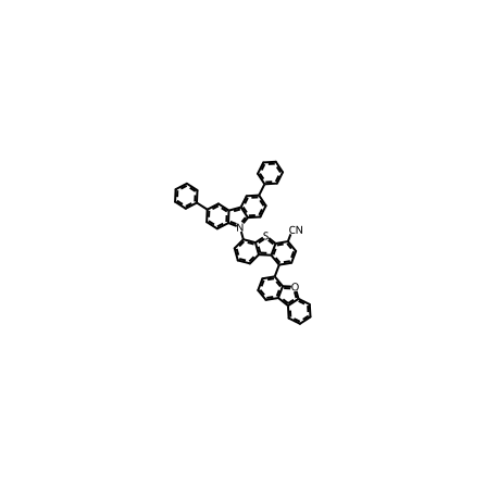 N#Cc1ccc(-c2cccc3c2oc2ccccc23)c2c1sc1c(-n3c4ccc(-c5ccccc5)cc4c4cc(-c5ccccc5)ccc43)cccc12